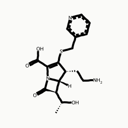 C[C@@H](O)[C@H]1C(=O)N2C(C(=O)O)=C(SCc3cccnc3)[C@H](CCN)[C@H]12